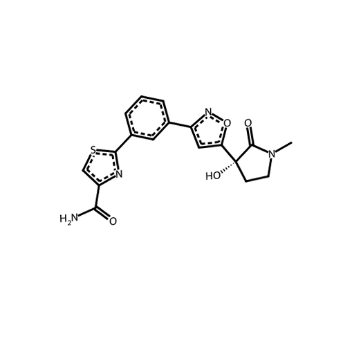 CN1CC[C@@](O)(c2cc(-c3cccc(-c4nc(C(N)=O)cs4)c3)no2)C1=O